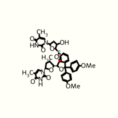 COc1ccc(C(OC(COSC2OC(n3cc(C)c(=O)[nH]c3=O)CC2O)[C@H]2O[C@@H](n3cc(C)c(=O)[nH]c3=O)C[C@@H]2C)(c2ccccc2)c2ccc(OC)cc2)cc1